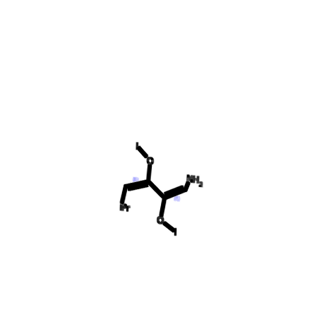 CC(C)/C=C(OI)\C(=C/N)OI